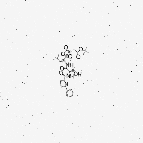 CC(C)C[C@H](NC(=O)C(NC(=O)c1cccc(-c2ccccc2)n1)[C@@H](C)O)B1OC(=O)[C@H](CC(=O)OC(C)(C)C)O1